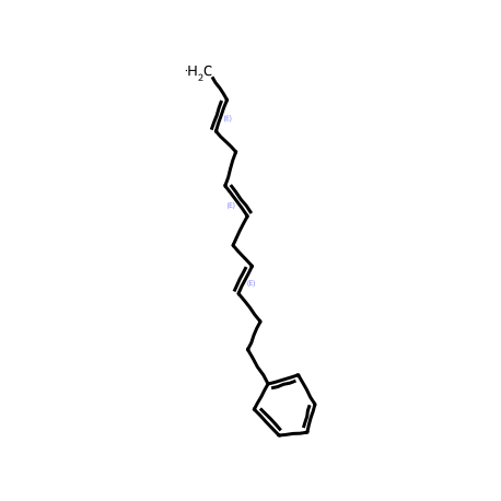 [CH2]/C=C/C/C=C/C/C=C/CCc1ccccc1